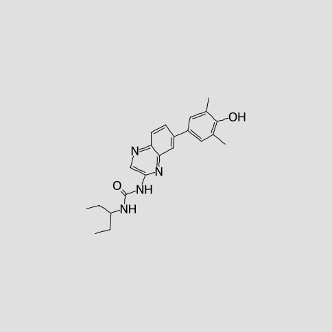 CCC(CC)NC(=O)Nc1cnc2ccc(-c3cc(C)c(O)c(C)c3)cc2n1